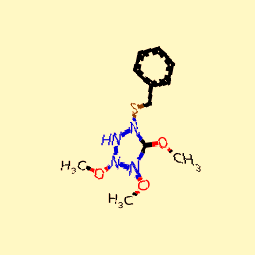 COC1N(SCc2ccccc2)NN(OC)N1OC